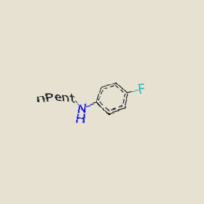 CCCCCNc1ccc(F)cc1